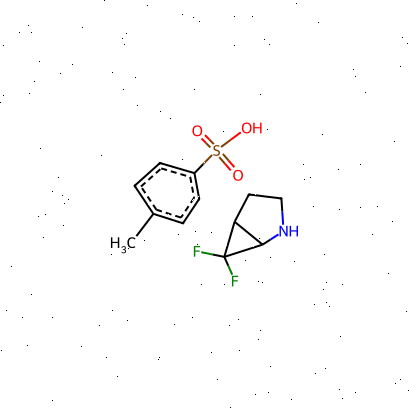 Cc1ccc(S(=O)(=O)O)cc1.FC1(F)C2CCNC21